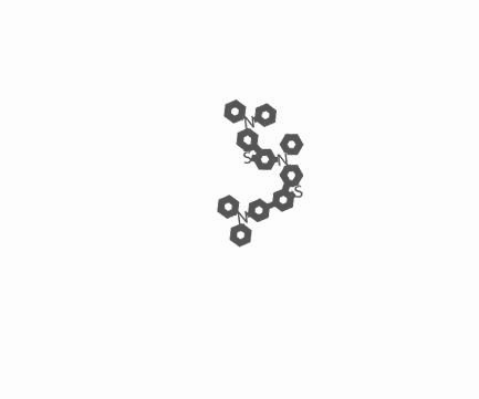 c1ccc(N(c2ccccc2)c2ccc(-c3ccc4sc5ccc(N(c6ccccc6)c6ccc7sc8ccc(N(c9ccccc9)c9ccccc9)cc8c7c6)cc5c4c3)cc2)cc1